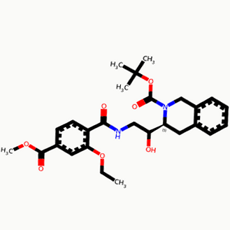 CCOc1cc(C(=O)OC)ccc1C(=O)NCC(O)[C@@H]1Cc2ccccc2CN1C(=O)OC(C)(C)C